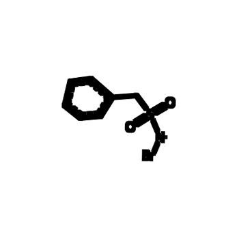 O=S(=O)(Cc1ccccc1)[N]Br